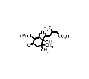 CCCCCC1=C(C)[C@](O)(/C=C/C(C)=C\C(=O)O)C(C)(C)CC1=O